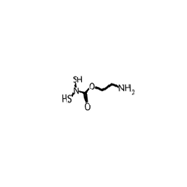 NCCOC(=O)N(S)S